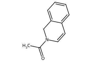 CC(=O)N1C=Cc2ccccc2C1